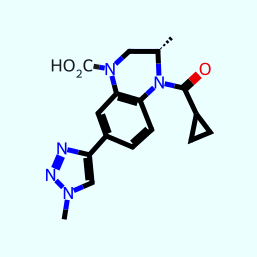 C[C@H]1CN(C(=O)O)c2cc(-c3cn(C)nn3)ccc2N1C(=O)C1CC1